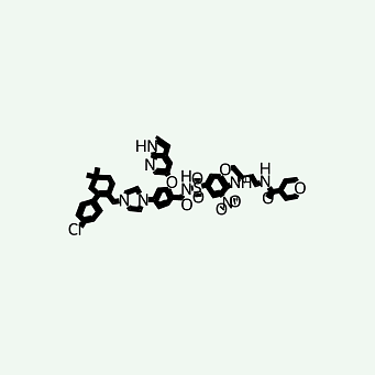 CC1(C)CCC(CN2CCN(c3ccc(C(=O)NS(=O)(=O)c4cc5c(c([N+](=O)[O-])c4)N[C@H](CCNC(=O)C4CCOCC4)CO5)c(Oc4cnc5[nH]ccc5c4)c3)CC2)=C(c2ccc(Cl)cc2)C1